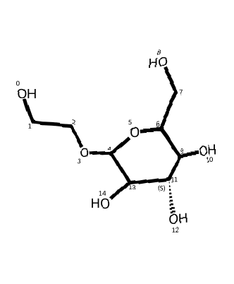 OCCOC1OC(CO)C(O)[C@H](O)C1O